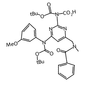 COc1cccc(N(C(=O)OC(C)(C)C)c2cc(CN(C)C(=O)c3ccccc3)nc(N(C(=O)O)C(=O)OC(C)(C)C)n2)c1